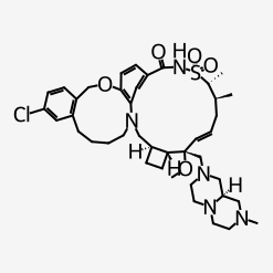 CO[C@@]1(CN2CCN3CCN(C)C[C@@H]3C2)/C=C/C[C@H](C)[C@@H](C)S(=O)(=O)NC(=O)c2ccc3c(c2)N(CCCCc2cc(Cl)ccc2CO3)C[C@@H]2CC[C@H]21